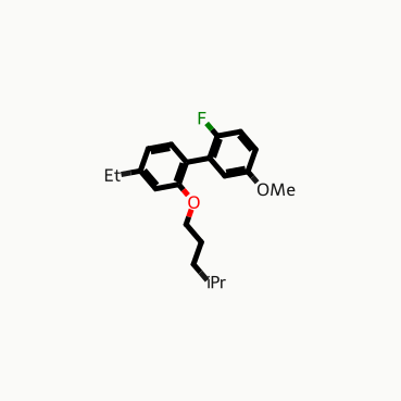 CCc1ccc(-c2cc(OC)ccc2F)c(OCCCC(C)C)c1